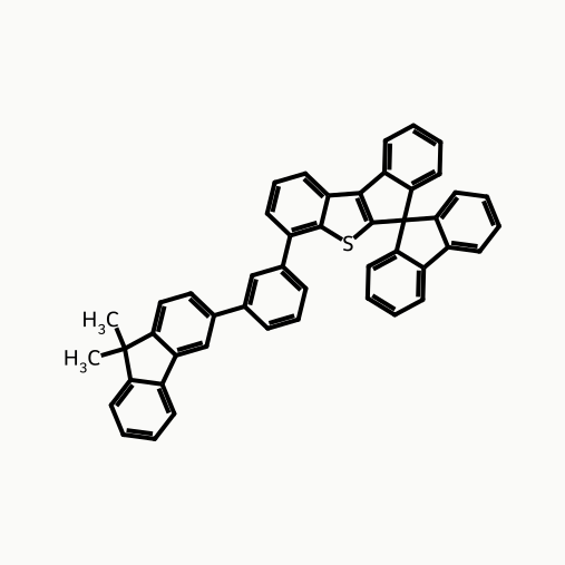 CC1(C)c2ccccc2-c2cc(-c3cccc(-c4cccc5c6c(sc45)C4(c5ccccc5-c5ccccc54)c4ccccc4-6)c3)ccc21